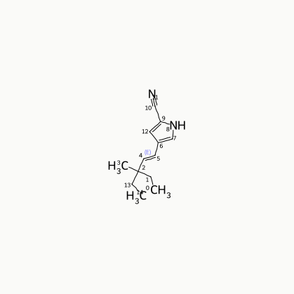 CCC(C)(/C=C/c1c[nH]c(C#N)c1)CC